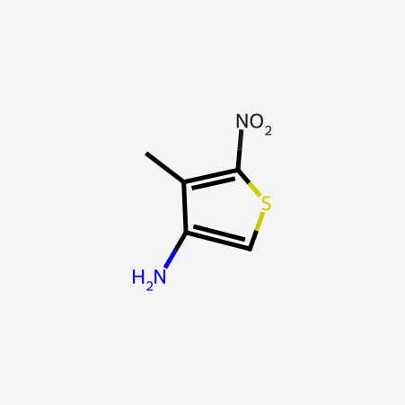 Cc1c(N)csc1[N+](=O)[O-]